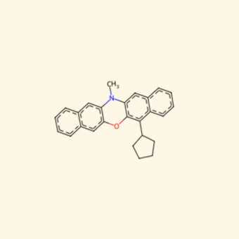 CN1c2cc3ccccc3cc2Oc2c1cc1ccccc1c2C1CCCC1